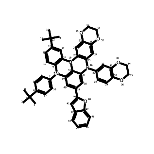 CC(C)(C)c1ccc(N2c3ccc(C(C)(C)C)cc3B3c4cc5c(cc4N(c4ccc6c(c4)OCCO6)c4cc(-c6cc7ccccc7o6)cc2c43)OCCO5)cc1